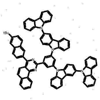 CC(C)(C)c1ccc2cc(-c3nc(-c4cc(-n5c6ccccc6c6cc(-n7c8ccccc8c8ccccc87)ccc65)cc(-n5c6ccccc6c6cc(-n7c8ccccc8c8ccccc87)ccc65)c4)nc4c3ccc3ccccc34)ccc2c1